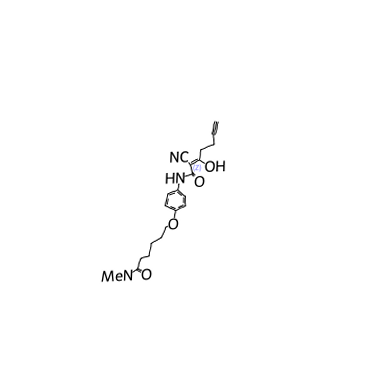 C#CCC/C(O)=C(\C#N)C(=O)Nc1ccc(OCCCCCC(=O)NC)cc1